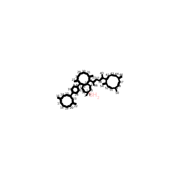 BC1(C)C=Cc2c(c(-c3ccc(-c4ccc(=C)ccccc(=C)c4)cc3)c(=C)ccccc(=C)c2/C(C)=C/C=C(C)/C2=C/C=C\C(=C)/C=C\C(C)/C=C\C2=C)C=C1